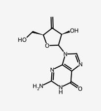 C=C1[C@H](CO)OC(n2cnc3c(=O)[nH]c(N)nc32)[C@@H]1O